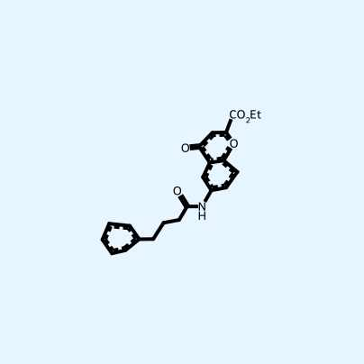 CCOC(=O)c1cc(=O)c2cc(NC(=O)CCCc3ccccc3)ccc2o1